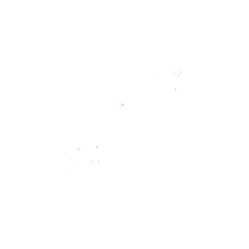 CC1(C)OB(c2cc(F)c(OCCCCC(=O)O)c(F)c2)OC1(C)C